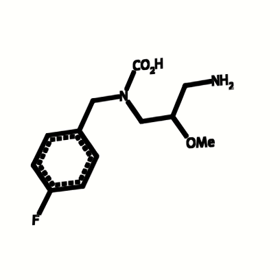 COC(CN)CN(Cc1ccc(F)cc1)C(=O)O